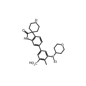 CCN(c1cc(-c2ccc3c(c2)NC(=O)C32CCNCC2)cc(C(=O)O)c1C)C1CCOCC1